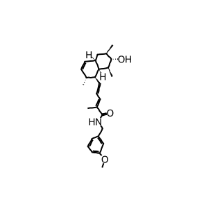 COc1cccc(CNC(=O)/C(C)=C/C=C/[C@@H]2[C@@H]3[C@H](C)[C@@H](O)[C@H](C)C[C@@H]3C=C[C@H]2C)c1